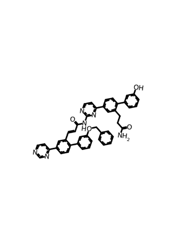 NC(=O)CCc1cc(-c2ccnc(NC(=O)/C=C/c3cc(-c4ccncn4)ccc3-c3cccc(OCc4ccccc4)c3)n2)ccc1-c1cccc(O)c1